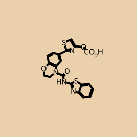 O=C(O)Oc1csc(-c2ccc3c(c2)N(C(=O)Nc2nc4ccccc4s2)CCO3)n1